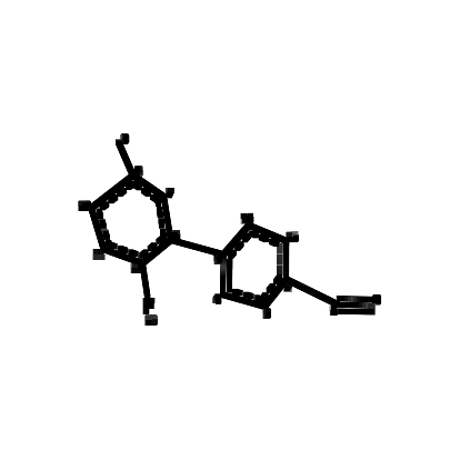 C#Cc1ccc(-c2cc(C)ccc2F)cc1